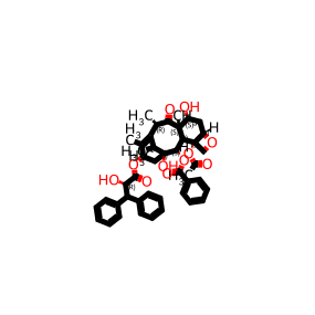 CC(=O)O[C@@]12CO[C@@H]1C[C@H](O)[C@@]1(C)C(=O)[C@H](C)C3=C(C)C(OC(=O)[C@H](O)C(c4ccccc4)c4ccccc4)C[C@@](O)([C@@H](OC(=O)c4ccccc4)[C@H]21)C3(C)C